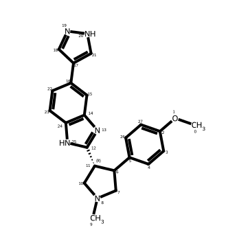 COc1ccc(C2CN(C)C[C@@H]2c2nc3cc(-c4cn[nH]c4)ccc3[nH]2)cc1